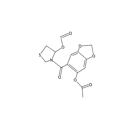 CC(=O)Oc1cc2c(cc1C(=O)N1CSCC1OC=O)OCO2